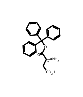 N[C@@H](CC(=O)O)C(=O)OC(c1ccccc1)(c1ccccc1)c1ccccc1